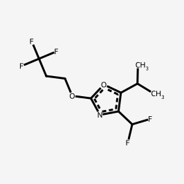 CC(C)c1oc(OCCC(F)(F)F)nc1C(F)F